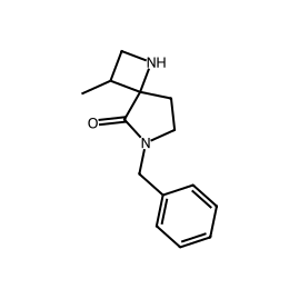 CC1CNC12CCN(Cc1ccccc1)C2=O